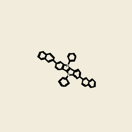 c1ccc(-n2c3cc(-c4ccc5ccccc5c4)ccc3c3c2c2ccc(-c4ccc5ccccc5c4)cc2n3-c2ccccc2)cc1